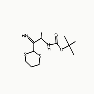 CC(NC(=O)OC(C)(C)C)C(=N)C1SCCCS1